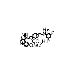 COc1ccc2ncc(CN)c([C@H](F)CCC3(CC(=O)O)CCN(CCNc4cc(F)cc(F)c4F)CC3)c2c1